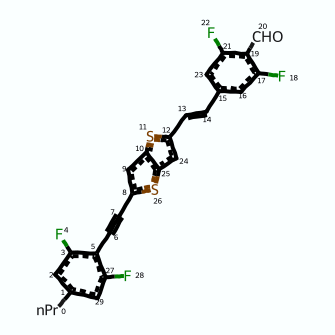 CCCc1cc(F)c(C#Cc2cc3sc(/C=C/c4cc(F)c(C=O)c(F)c4)cc3s2)c(F)c1